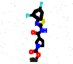 CC(C)(C)OC(=O)N1CCC(C(=O)Nc2nc3c(F)cc(F)cc3s2)C1